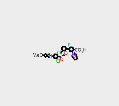 COC1CC2(C1)CN(c1cc(Cl)c(C(=O)N3COc4c(cccc4-c4cc(N5CC6CCC(C5)O6)c(C(=O)O)cc4F)C3)c(Cl)c1)C2